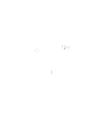 NC(=O)F